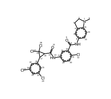 CN1CCc2cc(NC(=O)c3cc(NC(=O)C4C(c5cc(Cl)cc(Cl)c5)C4(Cl)Cl)ccc3Cl)ccc21